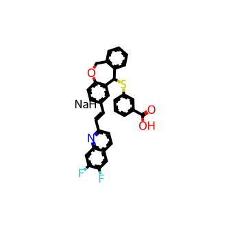 O=C(O)c1cccc(SC2c3ccccc3COc3ccc(C=Cc4ccc5cc(F)c(F)cc5n4)cc32)c1.[NaH]